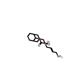 NC/C=C/CNC(=O)OC1C2CCCC1CC(CCO)C2